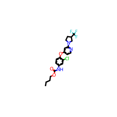 CCCCOC(=O)Nc1ccc(Oc2ccnc(N3CCC(C(F)(F)F)C3)c2)c(Cl)c1